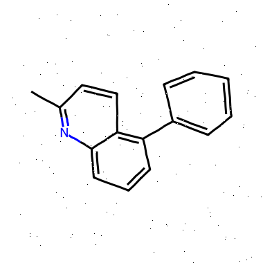 Cc1ccc2c(-c3ccccc3)cccc2n1